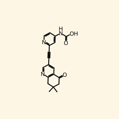 CC1(C)CC(=O)c2cc(C#Cc3cc(NC(=O)O)ccn3)cnc2C1